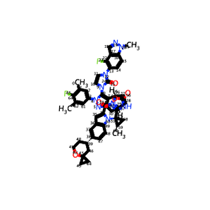 Cc1cc(-n2nc3c(c2-n2ccn(-c4ccc5c(cnn5C)c4F)c2=O)[C@H]2CC[C@@H](C3)N2C(=O)c2cc3cc([C@H]4CCOC5(CC5)C4)ccc3n2[C@@]2(c3noc(=O)[nH]3)C[C@@H]2C)cc(C)c1F